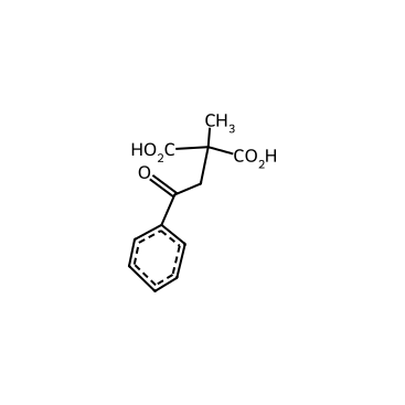 CC(CC(=O)c1ccccc1)(C(=O)O)C(=O)O